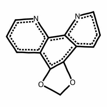 c1cnc2c(c1)c1c(c3cccnc32)OCO1